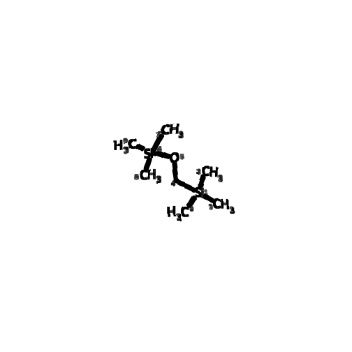 C[Si](C)(C)CO[Si](C)(C)C